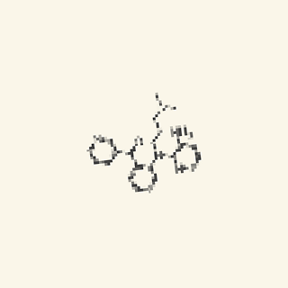 CN(C)CCCN(c1ccccc1C(=O)c1cccnc1)c1ncccc1N